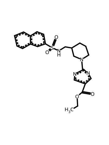 CCOC(=O)c1cnc(N2CCCC(CNS(=O)(=O)c3ccc4ccccc4c3)C2)nc1